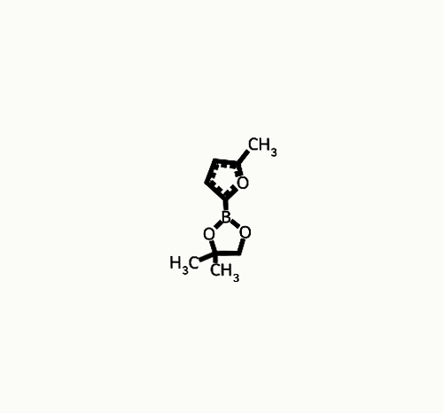 Cc1ccc(B2OCC(C)(C)O2)o1